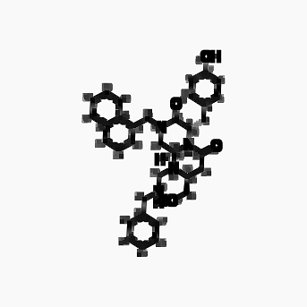 O=C1[C@H](Cc2ccc(O)cc2)N2C(=O)C[C@@H](CO)N(CNCc3ccccc3)[C@H]2CN1Cc1cccc2ccccc12